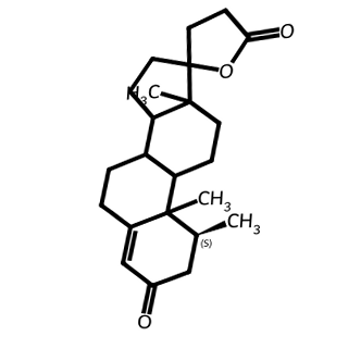 C[C@H]1CC(=O)C=C2CCC3C(CCC4(C)C3CCC43CCC(=O)O3)C21C